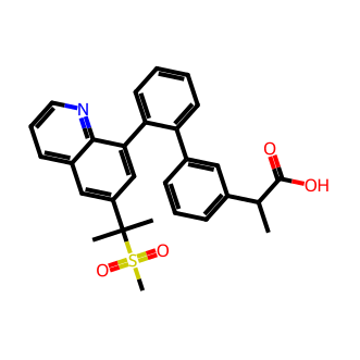 CC(C(=O)O)c1cccc(-c2ccccc2-c2cc(C(C)(C)S(C)(=O)=O)cc3cccnc23)c1